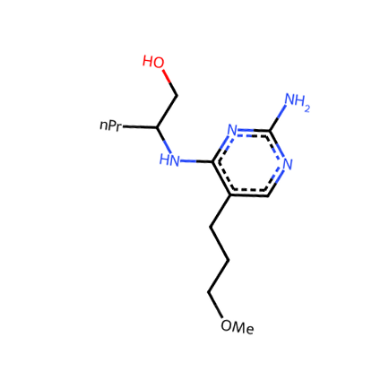 CCCC(CO)Nc1nc(N)ncc1CCCOC